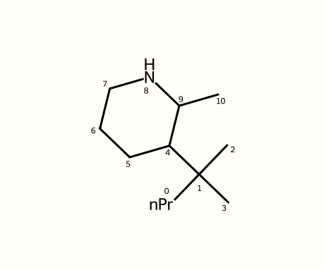 CCCC(C)(C)C1CCCNC1C